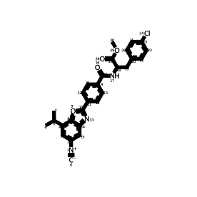 [C-]#[N+]c1cc(C(C)C)c2oc(-c3ccc(C(=O)NC(Cc4ccc(Cl)cc4)C(=O)OC)cc3)nc2c1